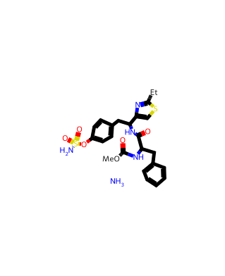 CCc1nc(C(Cc2ccc(OS(N)(=O)=O)cc2)NC(=O)C(Cc2ccccc2)NC(=O)OC)cs1.N